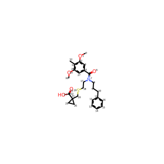 COc1cc(C(=O)N(CCCc2ccccc2)CCSCC2(C(=O)O)CC2)cc(OC)c1C